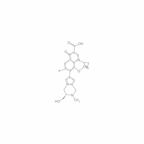 COc1c(-c2cc3n(c2)C[C@H](CO)N(C)C3)c(F)cc2c(=O)c(C(=O)O)cn(C3CC3)c12